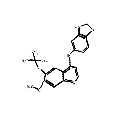 COc1cc2nccc(Nc3ccc4c(c3)NCS4)c2cc1SC(C)(C)C